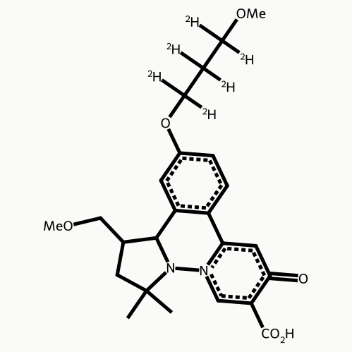 [2H]C([2H])(OC)C([2H])([2H])C([2H])([2H])Oc1ccc2c(c1)C1C(COC)CC(C)(C)N1n1cc(C(=O)O)c(=O)cc1-2